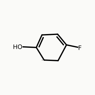 OC1=CC=C(F)C[CH]1